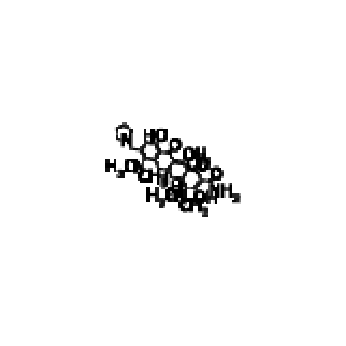 CN(C)c1c(CN2CCCC2)cc(O)c2c1C[C@H]1C[C@H]3[C@H](N(C)C)C(O)=C(C(N)=O)C(=O)[C@@]3(O)C(O)=C1C2=O